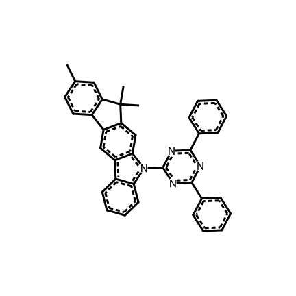 Cc1ccc2c(c1)C(C)(C)c1cc3c(cc1-2)c1ccccc1n3-c1nc(-c2ccccc2)nc(-c2ccccc2)n1